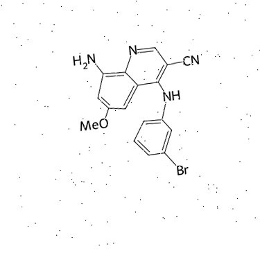 COc1cc(N)c2ncc(C#N)c(Nc3cccc(Br)c3)c2c1